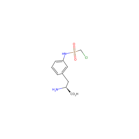 N[C@@H](Cc1cccc(NS(=O)(=O)CCl)c1)C(=O)O